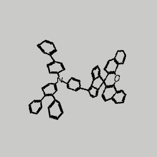 C1=Cc2c(ccc3c2Oc2c(ccc4ccccc24)C32c3ccccc3-c3c(-c4ccc(N(c5ccc(-c6ccccc6)cc5)c5ccc(-c6ccccc6)c(-c6ccccc6)c5)cc4)cccc32)CC1